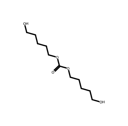 O=C(OCCCCCO)OCCCCCO